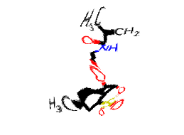 C=C(C)C(=O)NCCOC1C2OS(=O)(=O)C3CC1(C)CC23